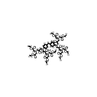 C=COC(=O)CN(CC(=O)OC=C)CC(O)CN(CC(O)CN(CC(=O)OC=C)CC(=O)OC=C)c1ccc(Cc2ccc(N(CC(O)CN(CC(=O)OCC)CC(=O)OCC)CC(O)CN(CC(=O)OCC)CC(=O)OCC)cc2)cc1